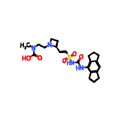 CN(CCN1CC[C@H]1/C=C/S(=O)(=O)NC(=O)Nc1c2c(cc3c1CCC3)CCC2)C(=O)O